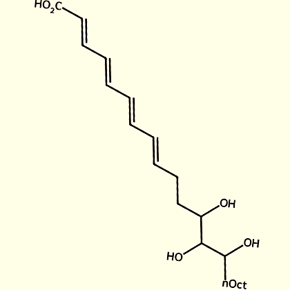 CCCCCCCCC(O)C(O)C(O)CC/C=C/C=C/C=C/C=C/C(=O)O